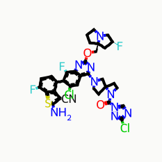 N#Cc1c(N)sc2c(F)ccc(-c3c(Cl)cc4c(N5CCC6(CCN6C(=O)n6cnc(Cl)n6)C5)nc(OC[C@@]56CCCN5C[C@H](F)C6)nc4c3F)c12